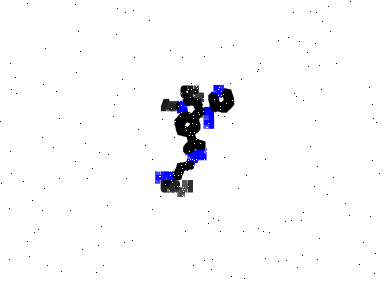 CC(=O)N1c2ccc(-c3cnn(CCCNC(=O)O)c3)cc2[C@H](Nc2cccnc2)C[C@@H]1C